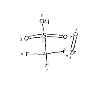 O=S(=O)(O)C(F)(F)F.[O]=[Zr]